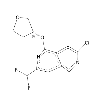 FC(F)c1cc2cnc(Cl)cc2c(O[C@@H]2CCOC2)n1